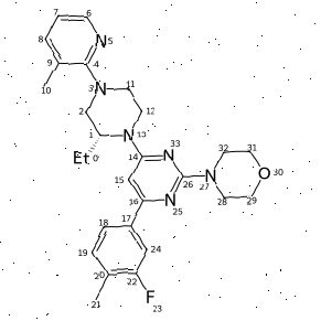 CC[C@@H]1CN(c2ncccc2C)CCN1c1cc(-c2ccc(C)c(F)c2)nc(N2CCOCC2)n1